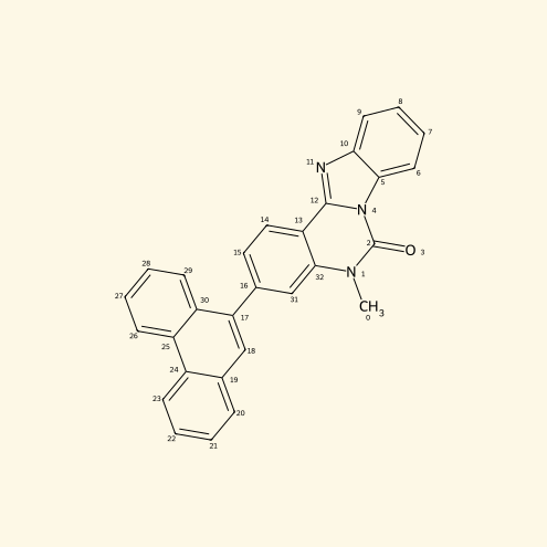 Cn1c(=O)n2c3ccccc3nc2c2ccc(-c3cc4ccccc4c4ccccc34)cc21